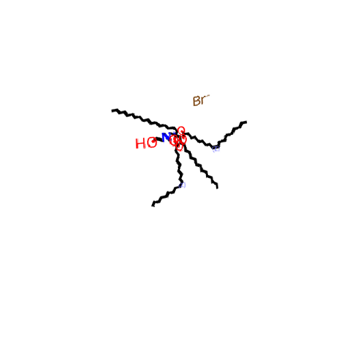 CCCCCCCC/C=C\CCCCCCCC(=O)OC(CCCCCCCCCCCCCCCC)C(CCCCCCCCCCCCCCCC)(C[N+](C)(C)CCO)OC(=O)CCCCCCC/C=C\CCCCCCCC.[Br-]